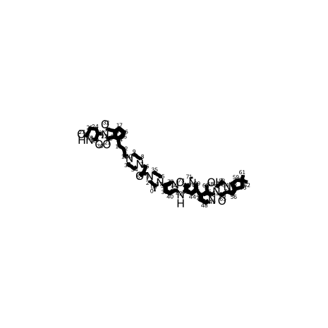 C[C@H]1CN(C(=O)CN2CCN(CCCc3cccc4c3C(=O)N(C3CCC(=O)NC3=O)C4=O)CC2)CCN1c1ccc(Nc2cc(-c3ccnc(N4CCn5c(cc6c5CC(C)(C)C6)C4=O)c3CO)cn(C)c2=O)nc1